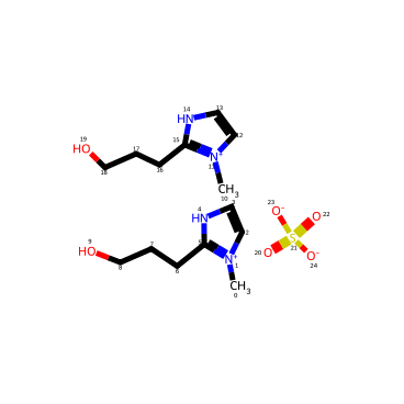 C[n+]1cc[nH]c1CCCO.C[n+]1cc[nH]c1CCCO.O=S(=O)([O-])[O-]